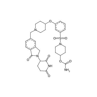 NC(=O)OC1CCN(S(=O)(=O)c2cccc(OC3CCN(Cc4ccc5c(c4)CN(C4CCC(=O)NC4=O)C5=O)CC3)c2)CC1